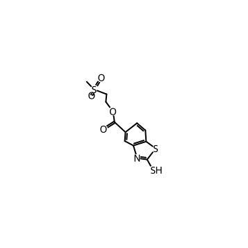 CS(=O)(=O)CCOC(=O)c1ccc2sc(S)nc2c1